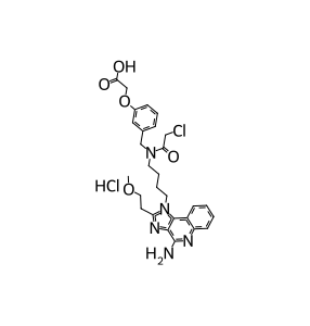 COCCc1nc2c(N)nc3ccccc3c2n1CCCCN(Cc1cccc(OCC(=O)O)c1)C(=O)CCl.Cl